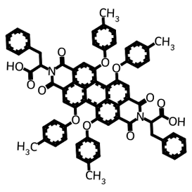 Cc1ccc(Oc2cc3c4c(cc(Oc5ccc(C)cc5)c5c6c(Oc7ccc(C)cc7)cc7c8c(cc(Oc9ccc(C)cc9)c(c2c45)c86)C(=O)N(C(Cc2ccccc2)C(=O)O)C7=O)C(=O)N(C(Cc2ccccc2)C(=O)O)C3=O)cc1